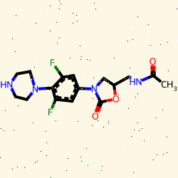 CC(=O)NCC1CN(c2cc(F)c(N3CCNCC3)c(F)c2)C(=O)O1